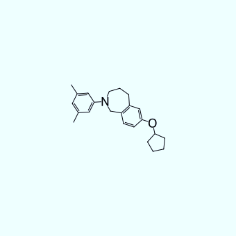 Cc1cc(C)cc(N2CCCc3cc(OC4CCCC4)ccc3C2)c1